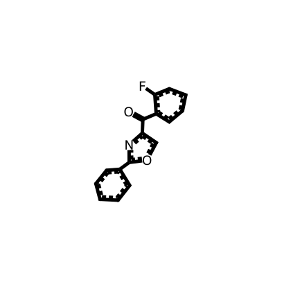 O=C(c1coc(-c2ccccc2)n1)c1ccccc1F